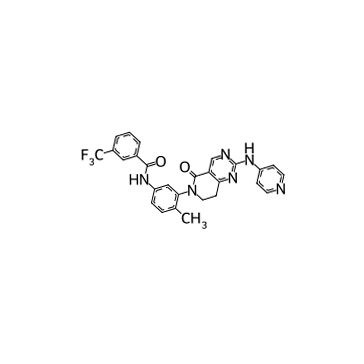 Cc1ccc(NC(=O)c2cccc(C(F)(F)F)c2)cc1N1CCc2nc(Nc3ccncc3)ncc2C1=O